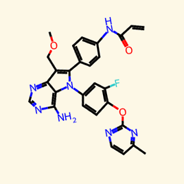 C=CC(=O)Nc1ccc(-c2c(COC)c3ncnc(N)c3n2-c2ccc(Oc3nccc(C)n3)c(F)c2)cc1